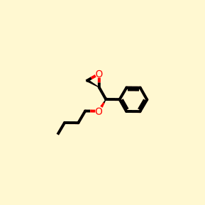 CCCCO[C@H](c1ccccc1)[C@H]1CO1